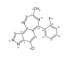 Cc1cnc2c(cc(Cl)c3nncc32)c(-c2ccccc2F)n1